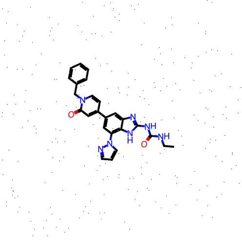 CCNC(=O)Nc1nc2cc(-c3ccn(Cc4ccccc4)c(=O)c3)cc(-n3cccn3)c2[nH]1